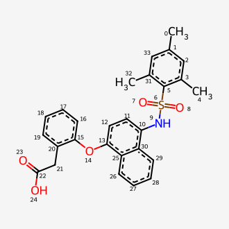 Cc1cc(C)c(S(=O)(=O)Nc2ccc(Oc3ccccc3CC(=O)O)c3ccccc23)c(C)c1